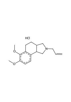 C=CCN1CC2CCc3c(ccc(OC)c3OC)C2C1.Cl